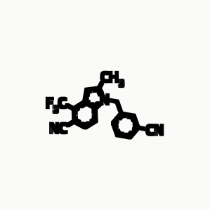 Cc1cc2c(C(F)(F)F)c(C#N)ccc2n1Cc1cccc(C#N)c1